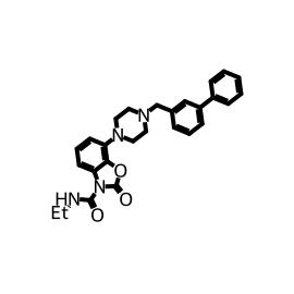 CCNC(=O)n1c(=O)oc2c(N3CCN(Cc4cccc(-c5ccccc5)c4)CC3)cccc21